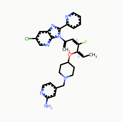 C=C(/C=C(F)\C(=C/C)OC1CCN(Cc2ccnc(N)c2)CC1)n1c(-c2ccccn2)nc2cc(Cl)cnc21